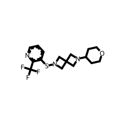 FC(F)(F)c1ncccc1SN1CC2(C1)CN(C1CCOCC1)C2